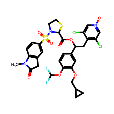 CN1C(=O)Cc2cc(S(=O)(=O)N3CCSC3C(=O)OC(Cc3c(Cl)c[n+]([O-])cc3Cl)c3ccc(OC(F)F)c(OCC4CC4)c3)ccc21